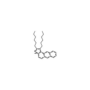 CCCCCCc1sc2ccc3cc4ccccc4cc3c2c1CCCCCC